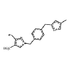 CCOC(=O)c1cn(Cc2ccc(Cn3cc(C)cn3)cc2)nc1C(C)C